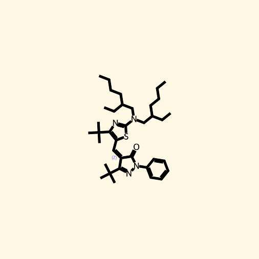 CCCCC(CC)CN(CC(CC)CCCC)c1nc(C(C)(C)C)c(/C=C2\C(=O)N(c3ccccc3)N=C2C(C)(C)C)s1